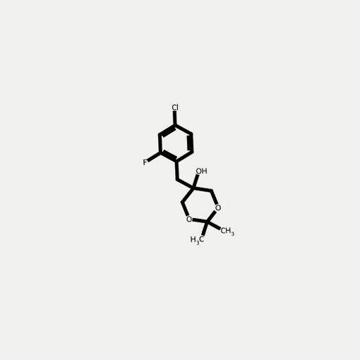 CC1(C)OCC(O)(Cc2ccc(Cl)cc2F)CO1